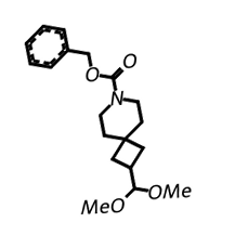 COC(OC)C1CC2(CCN(C(=O)OCc3ccccc3)CC2)C1